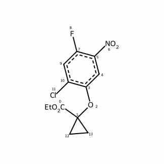 CCOC(=O)C1(Oc2cc([N+](=O)[O-])c(F)cc2Cl)CC1